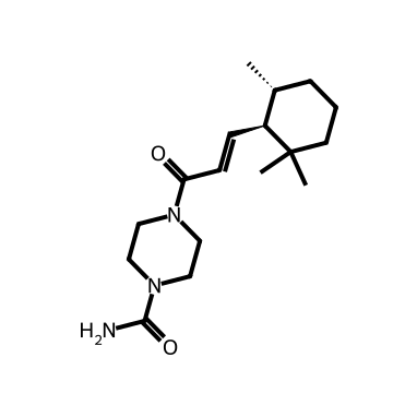 C[C@@H]1CCCC(C)(C)[C@H]1/C=C/C(=O)N1CCN(C(N)=O)CC1